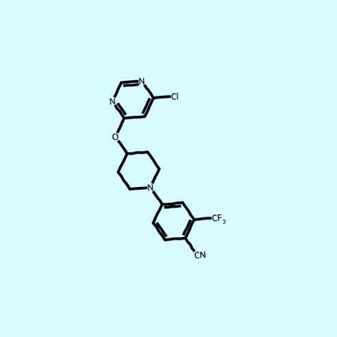 N#Cc1ccc(N2CCC(Oc3cc(Cl)ncn3)CC2)cc1C(F)(F)F